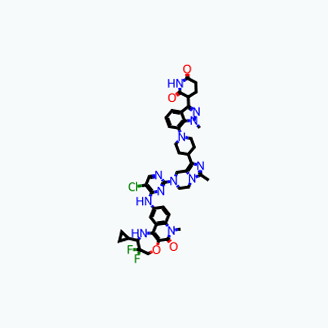 Cc1nc(C2CCN(c3cccc4c(C5CCC(=O)NC5=O)nn(C)c34)CC2)c2n1CCN(c1ncc(Cl)c(Nc3ccc4c(c3)c3c(c(=O)n4C)OCC(F)(F)C(C4CC4)N3)n1)C2